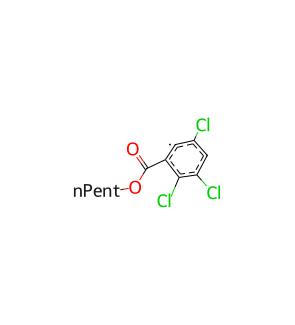 CCCCCOC(=O)c1[c]c(Cl)cc(Cl)c1Cl